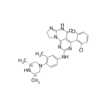 Cc1cc(Nc2nc(-c3c(Cl)cccc3Cl)c3c(n2)N2CCN=C2NC3=O)ccc1N1C[C@@H](C)N[C@@H](C)C1